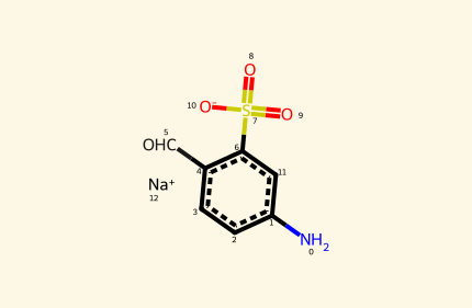 Nc1ccc(C=O)c(S(=O)(=O)[O-])c1.[Na+]